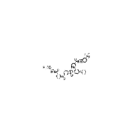 COCCNC(=O)[C@@H]1CCCN(C(=O)c2cccc(C(=O)Nc3ccc(N4CCCCC4)cc3-c3cc(C(=O)NCc4cccc(C(F)(F)F)c4)ccn3)c2)C1